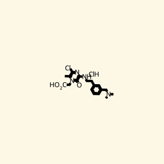 Cc1c(Cl)nc(NCCc2cccc(CN(C)C)c2)c(=O)n1CC(=O)O.Cl